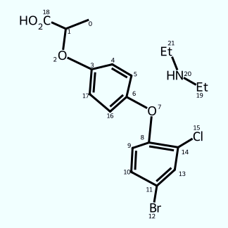 CC(Oc1ccc(Oc2ccc(Br)cc2Cl)cc1)C(=O)O.CCNCC